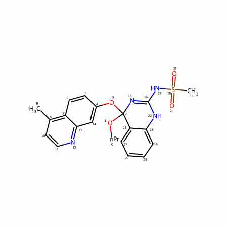 CCCOC1(Oc2ccc3c(C)ccnc3c2)N=C(NS(C)(=O)=O)Nc2ccccc21